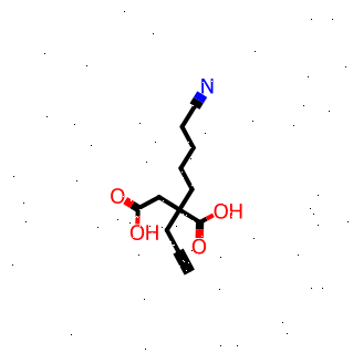 C#CCC(CCCCC#N)(CC(=O)O)C(=O)O